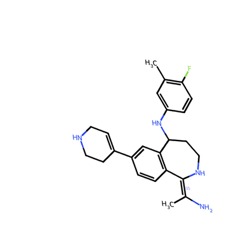 C/C(N)=C1/NCCC(Nc2ccc(F)c(C)c2)c2cc(C3=CCNCC3)ccc21